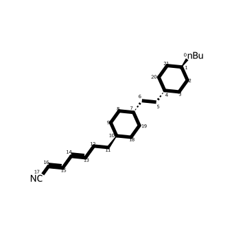 CCCC[C@H]1CC[C@H](CC[C@H]2CC[C@H](CCC=CC=CC#N)CC2)CC1